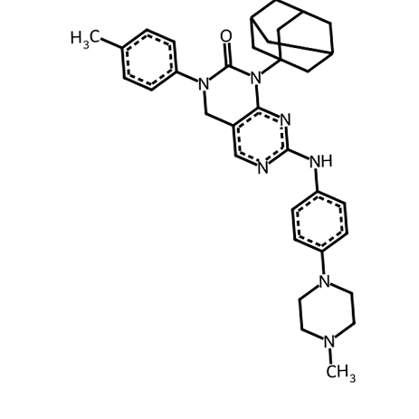 Cc1ccc(N2Cc3cnc(Nc4ccc(N5CCN(C)CC5)cc4)nc3N(C34CC5CC(CC(C5)C3)C4)C2=O)cc1